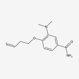 CN(C)c1cc(C(N)=O)ccc1OCCC=S